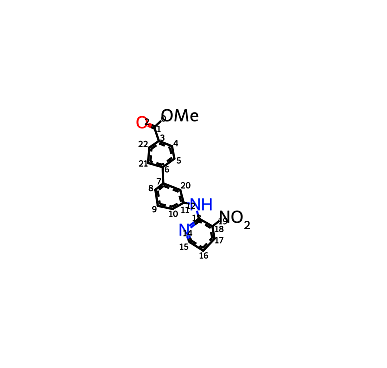 COC(=O)c1ccc(-c2cccc(Nc3ncccc3[N+](=O)[O-])c2)cc1